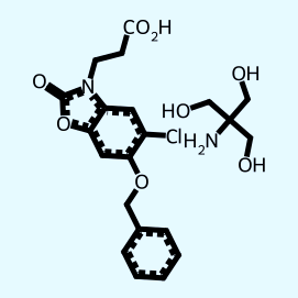 NC(CO)(CO)CO.O=C(O)CCn1c(=O)oc2cc(OCc3ccccc3)c(Cl)cc21